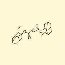 CCC1C2CC3CC(C2)CC1(OC(=O)/C=C/C(=O)OC12CC4CC(CC(C4)C1CC)C2)C3